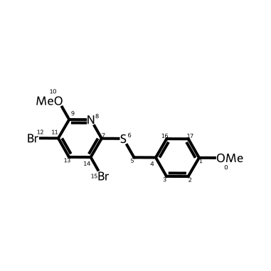 COc1ccc(CSc2nc(OC)c(Br)cc2Br)cc1